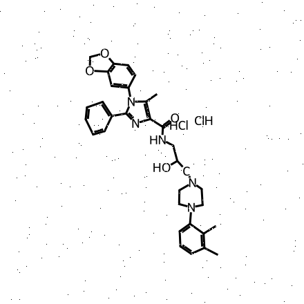 Cc1cccc(N2CCN(CC(O)CNC(=O)c3nc(-c4ccccc4)n(-c4ccc5c(c4)OCO5)c3C)CC2)c1C.Cl.Cl